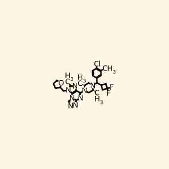 Cc1cc(C(C2CC(F)(F)C2)N2C[C@H](C)N(c3nc4nncn4c4c3nc(C)n4CC3CCCO3)C[C@H]2C)ccc1Cl